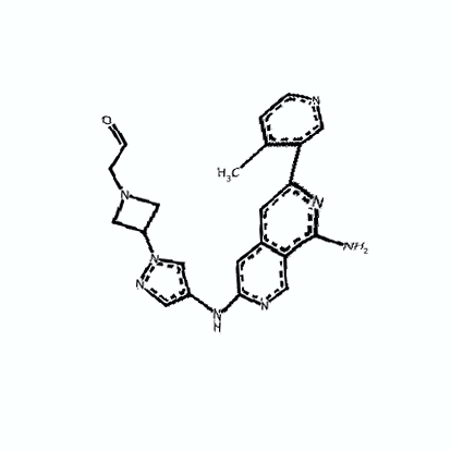 Cc1ccncc1-c1cc2cc(Nc3cnn(C4CN(CC=O)C4)c3)ncc2c(N)n1